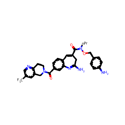 CCCN(OCc1ccc(N)cc1)C(=O)C1=Cc2ccc(C(=O)N3CCc4ncc(C(F)(F)F)cc4C3)cc2N=C(N)C1